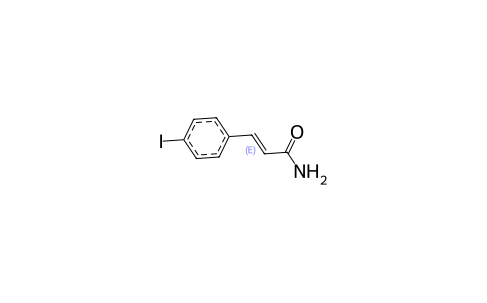 NC(=O)/C=C/c1ccc(I)cc1